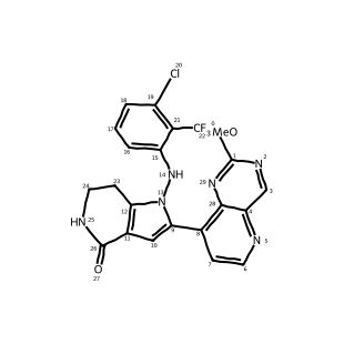 COc1ncc2nccc(-c3cc4c(n3Nc3cccc(Cl)c3C(F)(F)F)CCNC4=O)c2n1